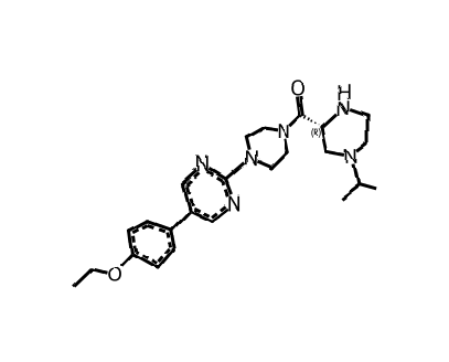 CCOc1ccc(-c2cnc(N3CCN(C(=O)[C@H]4CN(C(C)C)CCN4)CC3)nc2)cc1